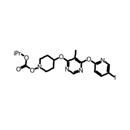 Cc1c(Oc2ccc(I)cn2)ncnc1OC1CCN(OC(=O)OC(C)C)CC1